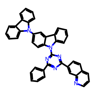 c1ccc(-c2nc(-c3ccc4cccnc4c3)nc(-n3c4ccccc4c4cc(-n5c6ccccc6c6ccccc65)ccc43)n2)cc1